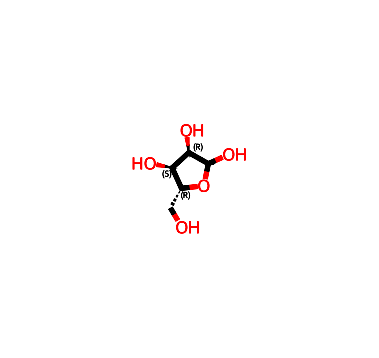 OC[C@H]1O[C](O)[C@H](O)[C@@H]1O